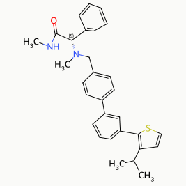 CNC(=O)[C@H](c1ccccc1)N(C)Cc1ccc(-c2cccc(-c3sccc3C(C)C)c2)cc1